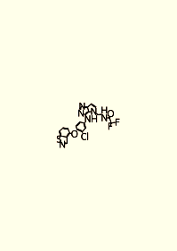 O=C(NCCn1ccc2ncnc(Nc3ccc(Oc4cccc5sncc45)c(Cl)c3)c21)C(F)F